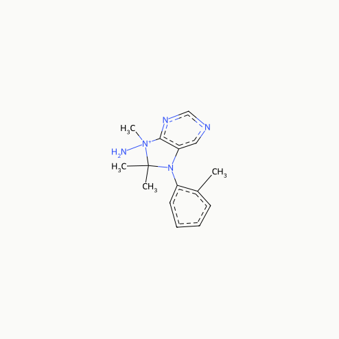 Cc1ccccc1N1c2cncnc2[N+](C)(N)C1(C)C